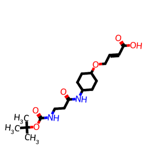 CC(C)(C)OC(=O)NCCC(=O)NC1CCC(OC/C=C/C(=O)O)CC1